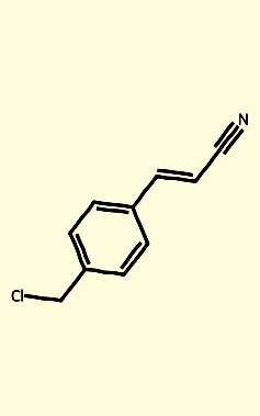 N#CC=Cc1ccc(CCl)cc1